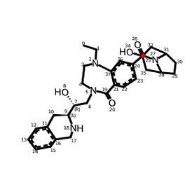 CCN1CCN(C[C@@H](O)[C@@H]2Cc3ccccc3CN2)C(=O)c2ccc(C(=O)N3C4CCC3CC(O)C4)cc21